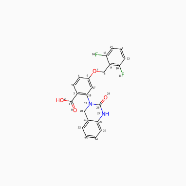 O=C(O)c1ccc(OCc2c(F)cccc2F)cc1N1Cc2ccccc2NC1=O